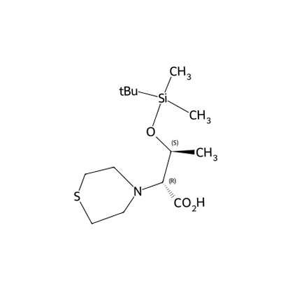 C[C@H](O[Si](C)(C)C(C)(C)C)[C@H](C(=O)O)N1CCSCC1